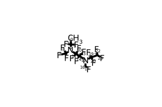 CC(F)(F)N(C(F)(F)F)C(F)(F)C(F)(F)N(CF)C(F)(F)C(F)F